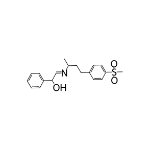 CC(CCc1ccc(S(C)(=O)=O)cc1)N=CC(O)c1ccccc1